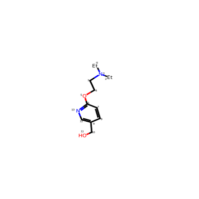 CCN(CC)CCOc1ccc(CO)cn1